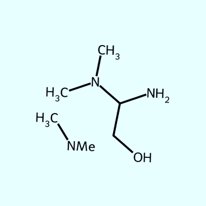 CN(C)C(N)CO.CNC